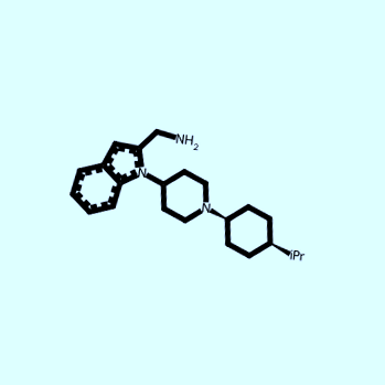 CC(C)[C@H]1CC[C@@H](N2CCC(n3c(CN)cc4ccccc43)CC2)CC1